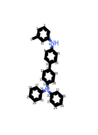 Cc1cccc(Nc2ccc(-c3ccc(N(c4ccccc4)c4ccccc4)cc3)cc2)c1